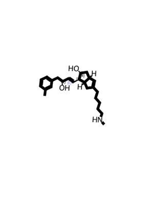 CNCCCCCC1=C[C@H]2C[C@@H](O)[C@H](/C=C/[C@H](O)Cc3cccc(C)c3)[C@H]2C1